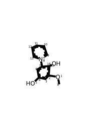 COc1cc(O)cc(-[n+]2ccccc2)c1O